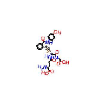 N[C@H](CCC(=O)N[C@H](CS[Se]c1ccccc1C(=O)Nc1ccc(O)cc1)C(=O)NCC(=O)O)C(=O)O